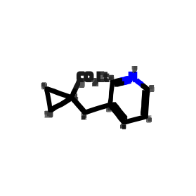 CCOC(=O)C1(Cc2cccnc2)CC1